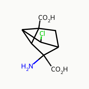 NC1(C(=O)O)C2CC3(C(=O)O)C(C2Cl)C13